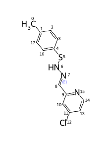 Cc1ccc(SN/N=C/c2cc(Cl)ccn2)cc1